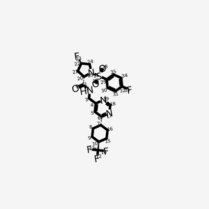 O=C(NCc1cc([C@H]2CC[C@H](C(F)(F)F)CC2)ncn1)[C@@H]1C[C@@H](F)CN1S(=O)(=O)c1ccc(F)cc1